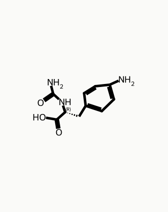 NC(=O)N[C@H](Cc1ccc(N)cc1)C(=O)O